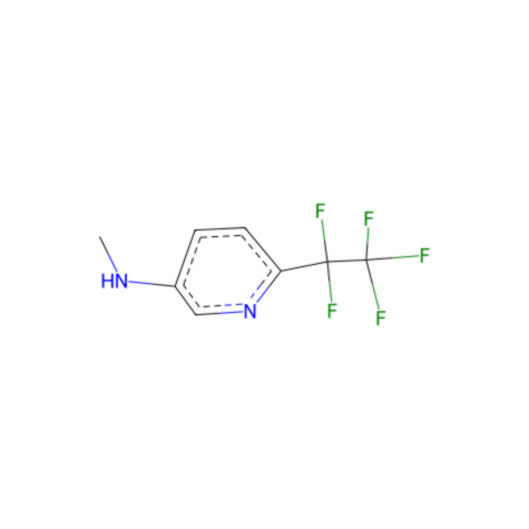 CNc1ccc(C(F)(F)C(F)(F)F)nc1